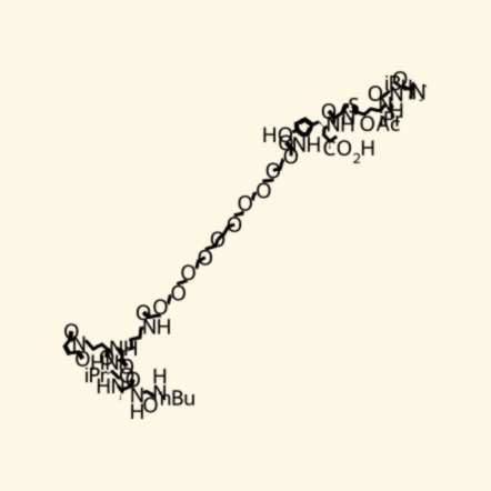 CCCCNC(=O)CNC(=O)[C@H](C)NC(=O)[C@@H](NC(=O)[C@H](CCCCNC(=O)COCCOCCOCCOCCOCCOCCOCCOCCOCCOC(=O)Nc1cc(C[C@@H](C[C@H](C)C(=O)O)NC(=O)c2csc([C@@H](C[C@H](C(C)C)N(C)C(=O)[C@@H](NC(=O)C(C)(C)N(C)C)[C@@H](C)CC)OC(C)=O)n2)ccc1O)NC(=O)CCCN1C(=O)C=CC1=O)C(C)C